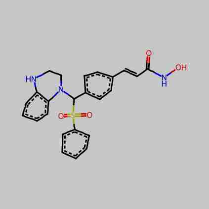 O=C(/C=C/c1ccc(C(N2CCNc3ccccc32)S(=O)(=O)c2ccccc2)cc1)NO